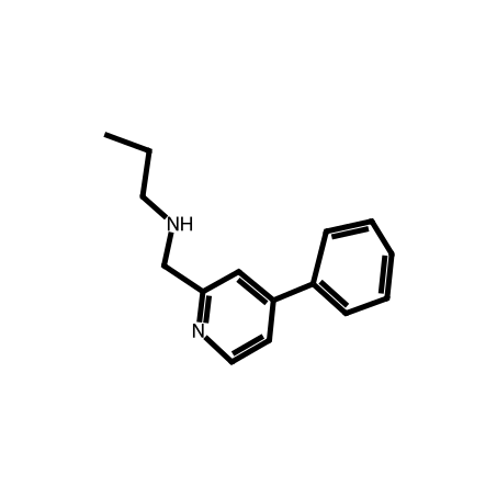 CCCNCc1cc(-c2ccccc2)ccn1